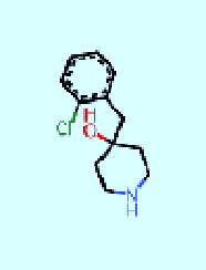 OC1(Cc2ccccc2Cl)CCNCC1